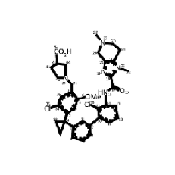 COc1cc(C2(c3cccc(-c4cccc(NC(=O)c5nc6c(n5C)CCN(C)C6)c4Cl)c3)CC2)c(Cl)cc1CN1CCC(C(=O)O)C1